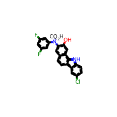 O=C(O)N(c1cc(F)cc(F)c1)c1cc2ccc3c4cc(Cl)ccc4[nH]c3c2cc1O